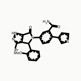 COc1ccccc1C1c2c(C(C)C)n[nH]c2C(=O)N1c1ccc(-c2ccsc2)c(C(N)=O)c1